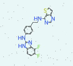 Fc1ccc2[nH]c(Nc3ccc(CCNc4ncnc5ccsc45)cc3)nc2c1F